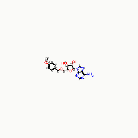 Nc1ncnc2c1ncn2[C@@H]1O[C@H](COCc2ccc(OC(F)(F)F)cc2)[C@@H](O)[C@H]1O